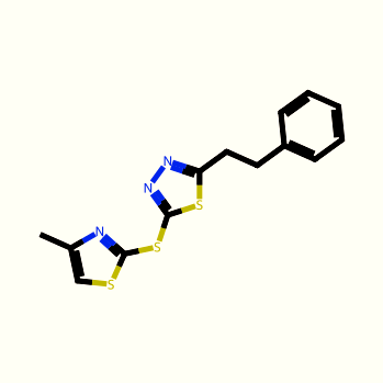 Cc1csc(Sc2nnc(CCc3ccccc3)s2)n1